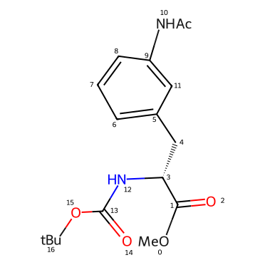 COC(=O)[C@@H](Cc1cccc(NC(C)=O)c1)NC(=O)OC(C)(C)C